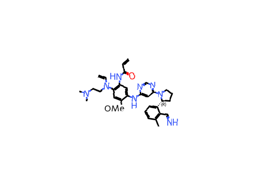 C=CC(=O)Nc1cc(Nc2cc(N3CCC[C@@H]3c3cccc(C)c3C=N)ncn2)c(OC)cc1N(C=C)CCN(C)C